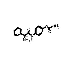 NC(=O)Oc1ccc(NC(=O)[C@@H](N)c2ccccc2)cc1